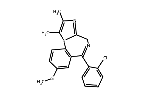 CSc1ccc2c(c1)C(c1ccccc1Cl)=NCc1nc(C)c(C)n1-2